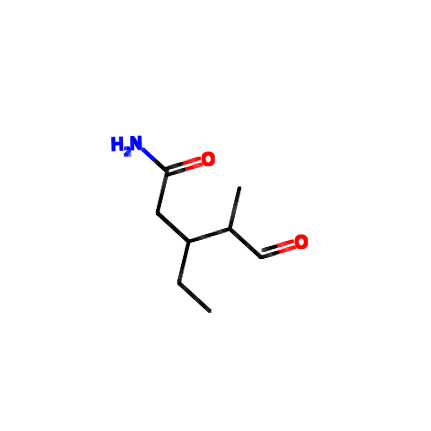 CCC(CC(N)=O)C(C)C=O